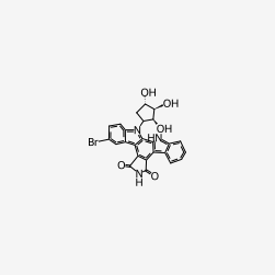 O=C1NC(=O)c2c1c1c3ccccc3[nH]c1c1c2c2cc(Br)ccc2n1C1C[C@H](O)[C@@H](O)[C@H]1O